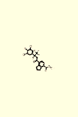 COC(=O)c1ccc(C(=O)CC(S)(c2cc(Cl)c(F)c(Cl)c2)C(F)(F)F)c2c1CCC2